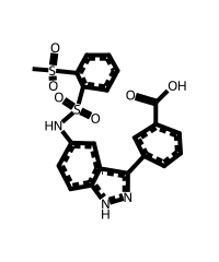 CS(=O)(=O)c1ccccc1S(=O)(=O)Nc1ccc2[nH]nc(-c3cccc(C(=O)O)c3)c2c1